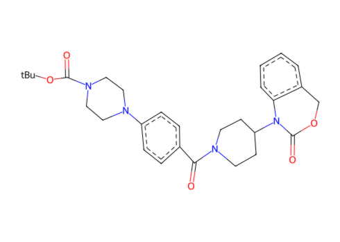 CC(C)(C)OC(=O)N1CCN(c2ccc(C(=O)N3CCC(N4C(=O)OCc5ccccc54)CC3)cc2)CC1